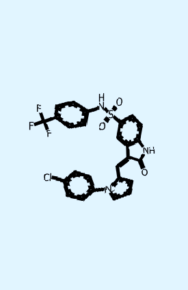 O=C1Nc2ccc(S(=O)(=O)Nc3ccc(C(F)(F)F)cc3)cc2C1=Cc1cccn1-c1ccc(Cl)cc1